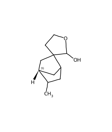 CC1CC2C[C@H]1CC21CCOC1O